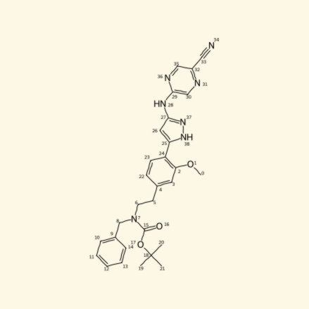 COc1cc(CCN(Cc2ccccc2)C(=O)OC(C)(C)C)ccc1-c1cc(Nc2cnc(C#N)cn2)n[nH]1